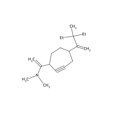 C=C(C1C#CCC(C(=C)C(C)(CC)CC)CC1)N(C)C